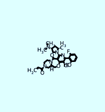 C=CC(=O)N1CCN2C(=O)c3c(N4C[C@H](N(C)C)C[C@@H]4C)nc(-c4c(O)cccc4F)c(Cl)c3OC[C@H]2C1